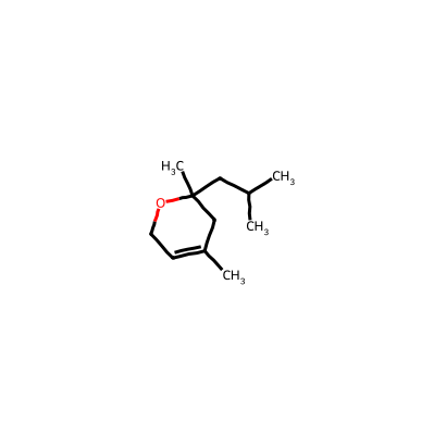 CC1=CCOC(C)(CC(C)C)C1